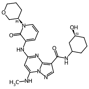 CNc1cc(Nc2cccn([C@@H]3CCCOC3)c2=O)nc2c(C(=O)NC3CCC[C@H](O)C3)cnn12